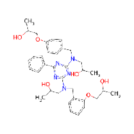 CC(O)COc1ccc(CN(CC(C)O)c2nc(-c3ccccc3)nc(N(Cc3ccccc3OCC(C)O)CC(C)O)n2)cc1